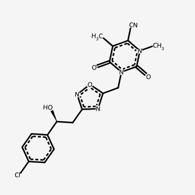 Cc1c(C#N)n(C)c(=O)n(Cc2nc(C[C@H](O)c3ccc(Cl)cc3)no2)c1=O